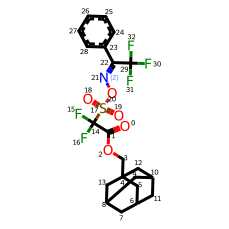 O=C(OCC12CC3CC(CC(C3)C1)C2)C(F)(F)S(=O)(=O)O/N=C(/c1ccccc1)C(F)(F)F